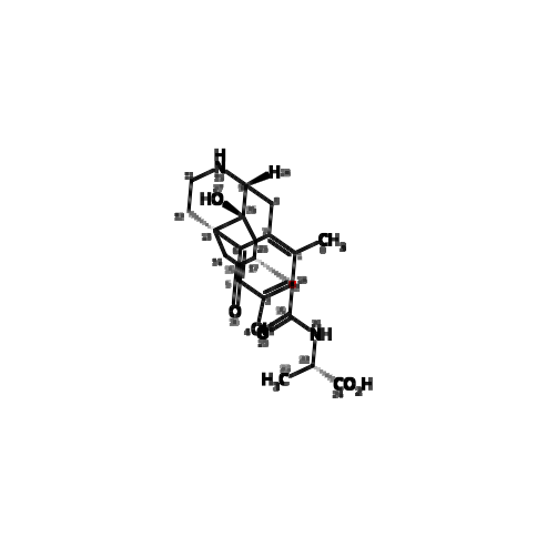 Cc1cc(O)cc2c1C[C@H]1NCC[C@@]23CC(=O)[C@@H](CC(=O)N[C@@H](C)C(=O)O)C[C@@]13O